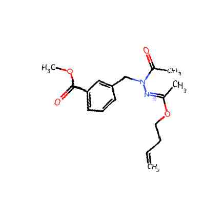 C=CCCO/C(C)=N/N(Cc1cccc(C(=O)OC)c1)C(C)=O